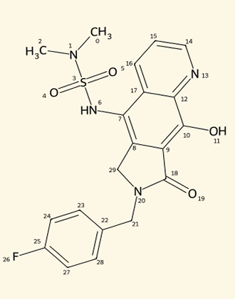 CN(C)S(=O)(=O)Nc1c2c(c(O)c3ncccc13)C(=O)N(Cc1ccc(F)cc1)C2